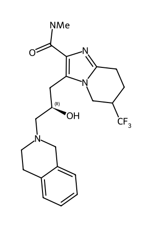 CNC(=O)c1nc2n(c1C[C@@H](O)CN1CCc3ccccc3C1)CC(C(F)(F)F)CC2